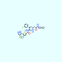 Cn1ncc(Cl)c1-c1sc(C(=O)N[C@@H]2CNC(CC(=O)NC=O)C[C@H]2c2cccc(F)c2)cc1Cl